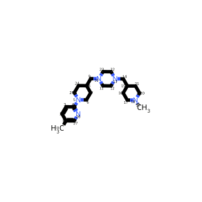 Cc1ccc(N2CCC(CN3CCN(CC4CCN(C)CC4)CC3)CC2)nc1